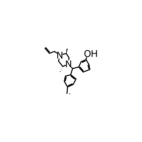 [CH2]c1ccc(C(c2cccc(O)c2)N2C[C@H](C)N(CC=C)C[C@H]2C)cc1